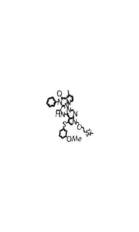 COc1cccc(Sc2cn(COCC[Si](C)(C)C)c3ncnc(NC(C)c4nn5ccc(C)c5c(=O)n4-c4ccccc4)c23)c1